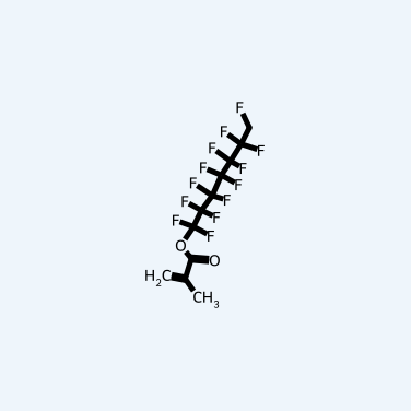 C=C(C)C(=O)OC(F)(F)C(F)(F)C(F)(F)C(F)(F)C(F)(F)C(F)(F)CF